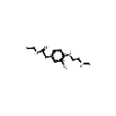 CCOC(=O)Cc1ccc(OCCOC)c(Br)c1